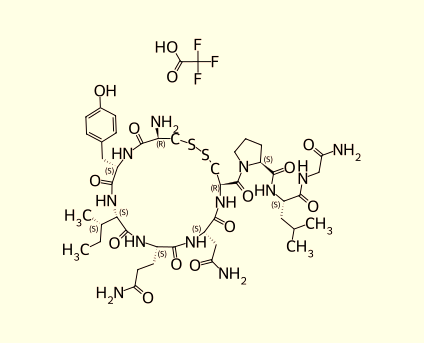 CC[C@H](C)[C@@H]1NC(=O)[C@H](Cc2ccc(O)cc2)NC(=O)[C@@H](N)CSSC[C@@H](C(=O)N2CCC[C@H]2C(=O)N[C@@H](CC(C)C)C(=O)NCC(N)=O)NC(=O)[C@H](CC(N)=O)NC(=O)[C@H](CCC(N)=O)NC1=O.O=C(O)C(F)(F)F